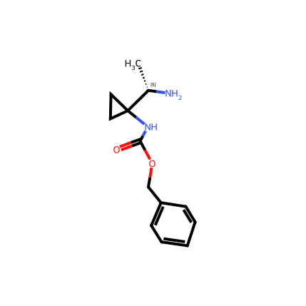 C[C@H](N)C1(NC(=O)OCc2ccccc2)CC1